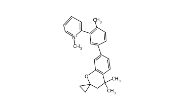 Cc1ccc(-c2ccc3c(c2)OC2(CC2)CC3(C)C)cc1-c1cccc[n+]1C